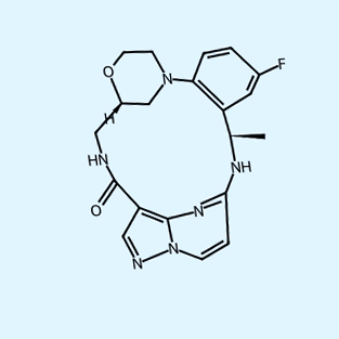 C[C@H]1Nc2ccn3ncc(c3n2)C(=O)NC[C@H]2CN(CCO2)c2ccc(F)cc21